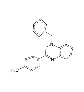 Cc1ccc(C2=Nc3ccccc3N(Cc3ccccc3)C2)cc1